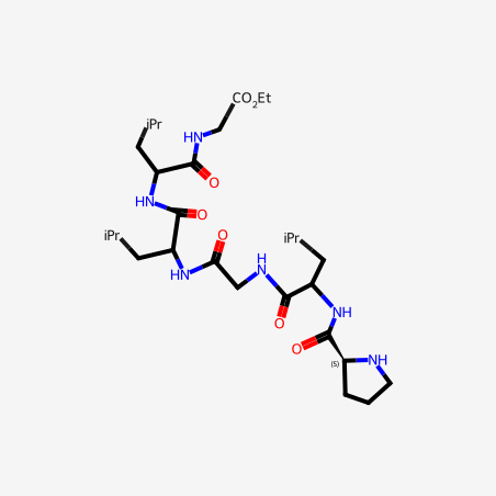 CCOC(=O)CNC(=O)C(CC(C)C)NC(=O)C(CC(C)C)NC(=O)CNC(=O)C(CC(C)C)NC(=O)[C@@H]1CCCN1